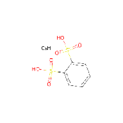 O=S(=O)(O)c1ccccc1S(=O)(=O)O.[CsH]